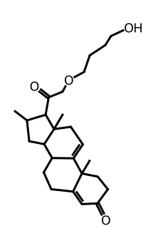 CC1CC2C3CCC4=CC(=O)CCC4(C)C3=CCC2(C)C1C(=O)COCCCCO